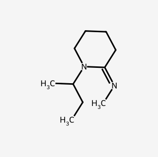 CCC(C)N1CCCC/C1=N/C